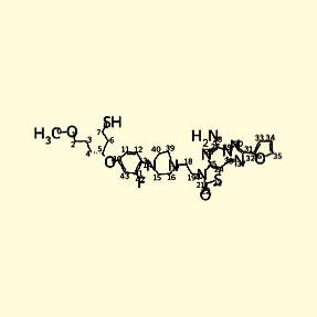 COCCC[C@H](CCS)Oc1ccc(N2CCN(CCn3c(=O)sc4c3nc(N)n3nc(-c5ccco5)nc43)CC2)c(F)c1